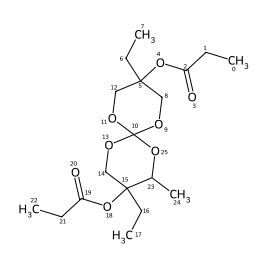 CCC(=O)OC1(CC)COC2(OC1)OCC(CC)(OC(=O)CC)C(C)O2